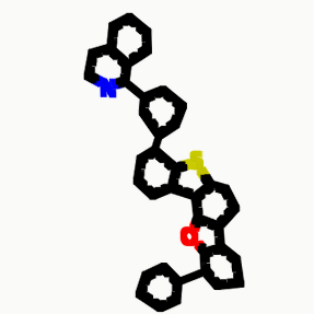 c1ccc(-c2cccc3c2oc2c3ccc3sc4c(-c5cccc(-c6nccc7ccccc67)c5)cccc4c32)cc1